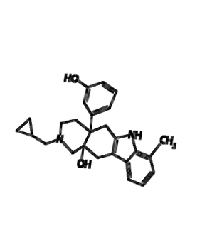 Cc1cccc2c3c([nH]c12)CC1(c2cccc(O)c2)CCN(CC2CC2)CC1(O)C3